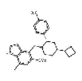 COc1cc(C)c2[nH]ccc2c1CN1CCC(C2CCC2)C[C@H]1c1ccc(C(=O)O)cc1